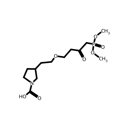 COP(=O)(CC(=O)CCOCCC1CCN(C(=O)O)C1)OC